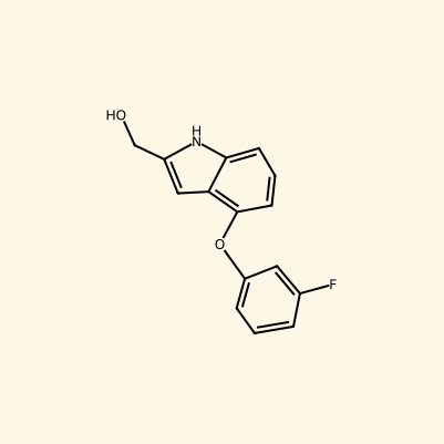 OCc1cc2c(Oc3cccc(F)c3)cccc2[nH]1